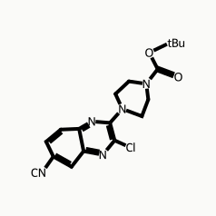 [C-]#[N+]c1ccc2nc(N3CCN(C(=O)OC(C)(C)C)CC3)c(Cl)nc2c1